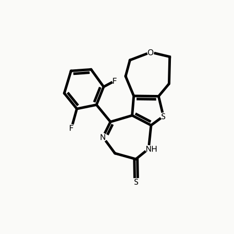 Fc1cccc(F)c1C1=NCC(=S)Nc2sc3c(c21)CCOCC3